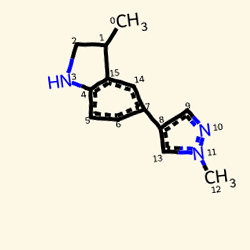 CC1CNc2ccc(-c3cnn(C)c3)cc21